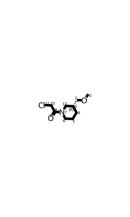 COC[C@@H]1CCCN(C(=O)CCl)C1